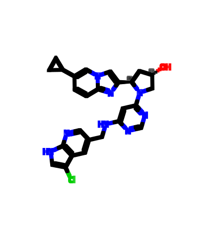 O[C@H]1C[C@H](c2cn3cc(C4CC4)ccc3n2)N(c2cc(NCc3cnc4[nH]cc(Cl)c4c3)ncn2)C1